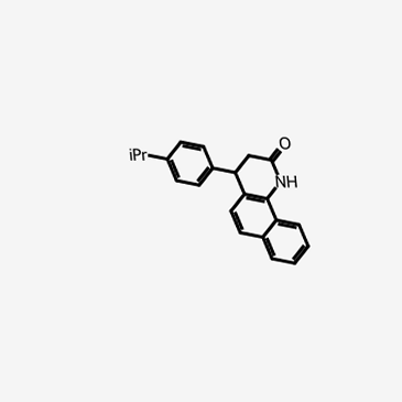 CC(C)c1ccc(C2CC(=O)Nc3c2ccc2ccccc32)cc1